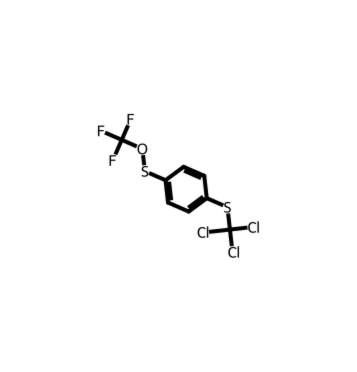 FC(F)(F)OSc1ccc(SC(Cl)(Cl)Cl)cc1